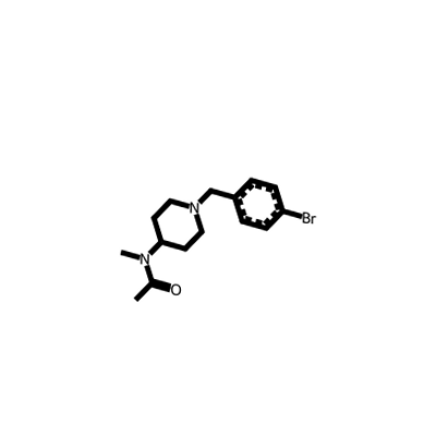 CC(=O)N(C)C1CCN(Cc2ccc(Br)cc2)CC1